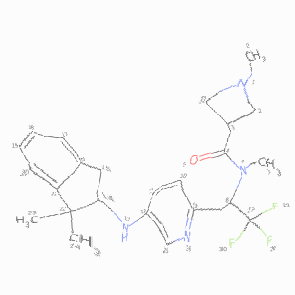 CN1CC(C(=O)N(C)C(c2ccc(NC3Cc4ccccc4C3(C)C)cn2)C(F)(F)F)C1